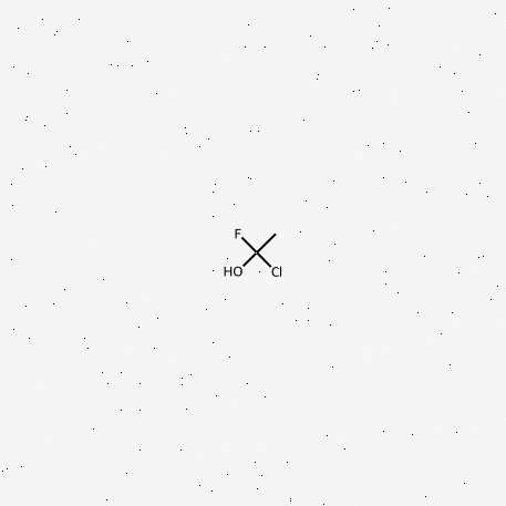 CC(O)(F)Cl